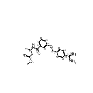 COC(=O)CC(C)NC(=O)c1cccc(OCc2ccc(C(=N)N)cc2)c1